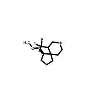 CON=C1CCCC12CCNCC2C(F)(F)F